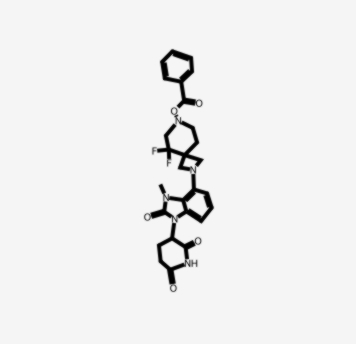 Cn1c(=O)n(C2CCC(=O)NC2=O)c2cccc(N3CC4(CCN(OC(=O)c5ccccc5)CC4(F)F)C3)c21